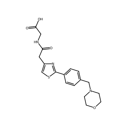 O=C(O)CNC(=O)Cc1csc(-c2ccc(CN3CCOCC3)cc2)n1